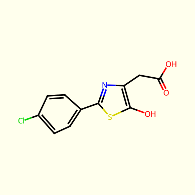 O=C(O)Cc1nc(-c2ccc(Cl)cc2)sc1O